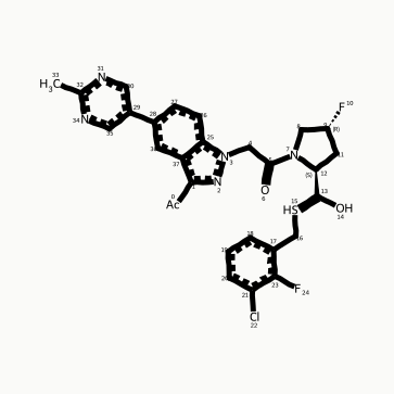 CC(=O)c1nn(CC(=O)N2C[C@H](F)C[C@H]2C(O)=[SH]Cc2cccc(Cl)c2F)c2ccc(-c3cnc(C)nc3)cc12